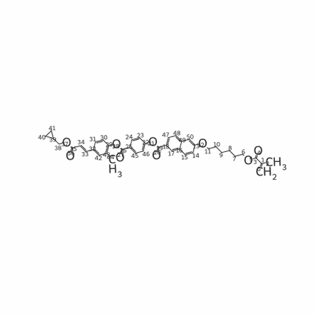 C=C(C)C(=O)OCCCCCCOc1ccc2cc(C(=O)Oc3ccc(C(=O)Oc4ccc(/C=C/C(=O)OCC5CC5)cc4C)cc3)ccc2c1